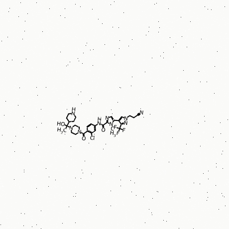 Cn1c(-c2cn(CCC#N)nc2C(F)(F)F)cnc1C(=O)Nc1ccc(C(=O)N2CCN(C(C)(O)C3CCNCC3)CC2)c(Cl)c1